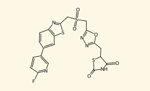 O=C1NC(=O)C(Cc2nnc(CS(=O)(=O)Cc3nc4ccc(-c5ccc(F)nc5)cc4s3)o2)S1